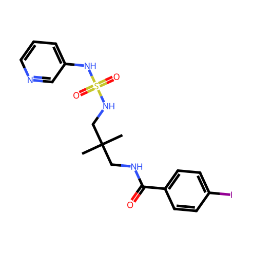 CC(C)(CNC(=O)c1ccc(I)cc1)CNS(=O)(=O)Nc1cccnc1